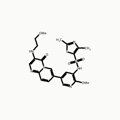 COCCNc1cnc2ccc(-c3cnc(OC)c(NS(=O)(=O)c4sc(C)nc4C)c3)cn2c1=O